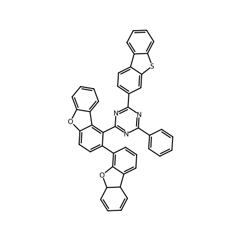 C1=CC2Oc3c(-c4ccc5oc6ccccc6c5c4-c4nc(-c5ccccc5)nc(-c5ccc6c(c5)sc5ccccc56)n4)cccc3C2C=C1